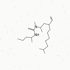 C=CC(CCCCCC(C)C)CC(C)N(C)C(=C)NC(C)CCC